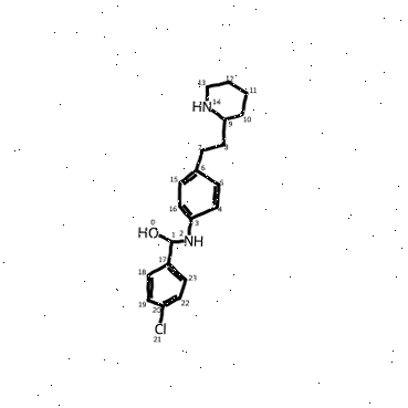 OC(Nc1ccc(CCC2CCCCN2)cc1)c1ccc(Cl)cc1